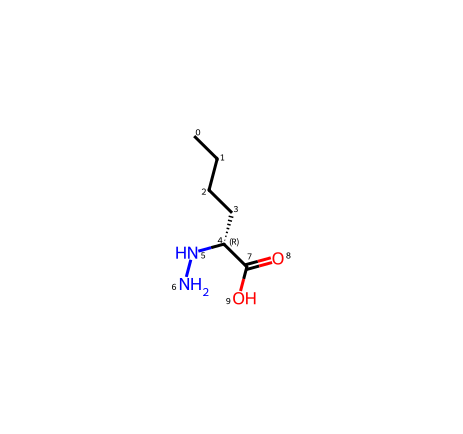 CCCC[C@@H](NN)C(=O)O